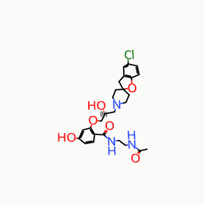 CC(=O)NCCNC(=O)c1ccc(O)cc1OC[C@H](O)CN1CCC2(CC1)Cc1cc(Cl)ccc1O2